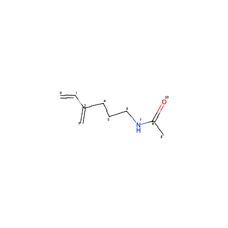 C=CC(=C)CCCNC(C)=O